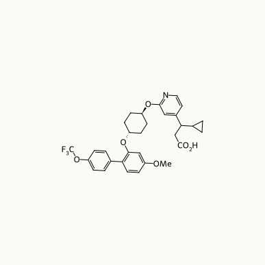 COc1ccc(-c2ccc(OC(F)(F)F)cc2)c(O[C@H]2CC[C@H](Oc3cc(C(CC(=O)O)C4CC4)ccn3)CC2)c1